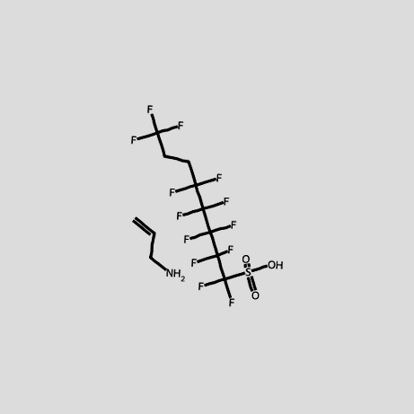 C=CCN.O=S(=O)(O)C(F)(F)C(F)(F)C(F)(F)C(F)(F)C(F)(F)CCC(F)(F)F